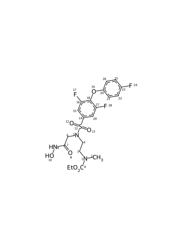 CCOC(=O)N(C)CCN(CC(=O)NO)S(=O)(=O)c1cc(F)c(Oc2ccc(F)cc2)c(F)c1